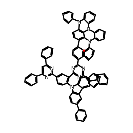 c1ccc(-c2ccc3c(c2)c2cc(-c4ccccc4)ccc2n3-c2ccc(-c3nc(-c4ccccc4)cc(-c4ccccc4)n3)cc2-c2nc(-c3ccccc3)nc(-c3ccc(-c4ccc5c6c4N(c4ccccc4)c4ccccc4B6c4ccccc4N5c4ccccc4)cc3)n2)cc1